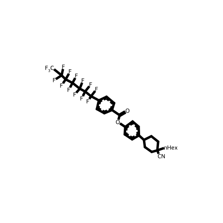 CCCCCCC1(C#N)CCC(c2ccc(OC(=O)c3ccc(C(F)(F)C(F)(F)C(F)(F)C(F)(F)C(F)(F)C(F)(F)C(F)(F)F)cc3)cc2)CC1